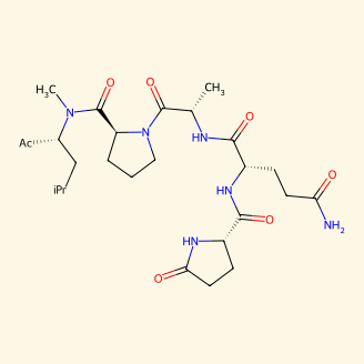 CC(=O)[C@@H](CC(C)C)N(C)C(=O)[C@@H]1CCCN1C(=O)[C@H](C)NC(=O)[C@H](CCC(N)=O)NC(=O)[C@@H]1CCC(=O)N1